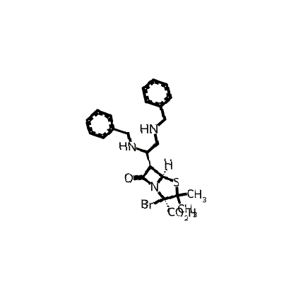 CC1(C)S[C@@H]2[C@H](C(CNCc3ccccc3)NCc3ccccc3)C(=O)N2[C@@]1(Br)C(=O)O